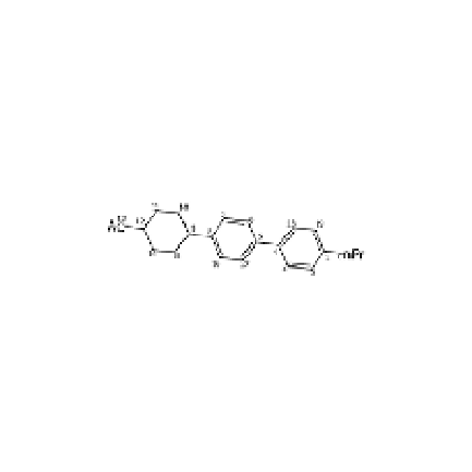 CCCc1ccc(-c2ccc(C3CCC(C(C)=O)CC3)cc2)cc1